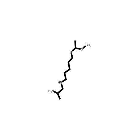 CC(N)CNCCCCCOC(C)O[SiH3]